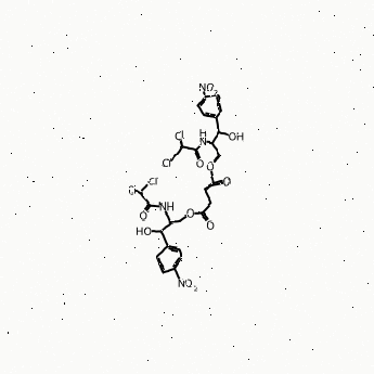 O=C(CCC(=O)OCC(NC(=O)C(Cl)Cl)C(O)c1ccc([N+](=O)[O-])cc1)OCC(NC(=O)C(Cl)Cl)C(O)c1ccc([N+](=O)[O-])cc1